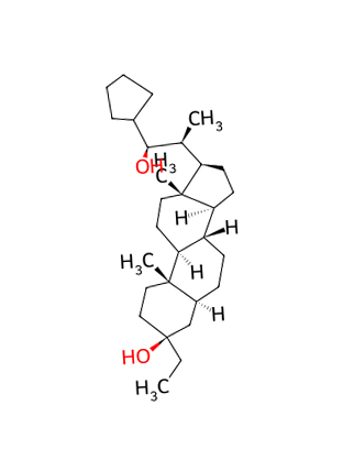 CC[C@]1(O)CC[C@@]2(C)[C@@H](CC[C@@H]3[C@@H]2CC[C@]2(C)[C@@H]([C@H](C)[C@@H](O)C4CCCC4)CC[C@@H]32)C1